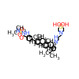 C=C(C)[C@@H]1CC[C@]2(CNCCCN3CCS(O)(O)CC3)CC[C@]3(C)[C@H](CC[C@@H]4[C@@]5(C)CC=C(c6ccc(C(=O)NS(=O)(=O)N(C)C)cc6)C(C)(C)[C@@H]5CC[C@]43C)[C@@H]12